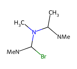 CNC(C)N(C)C(Br)NC